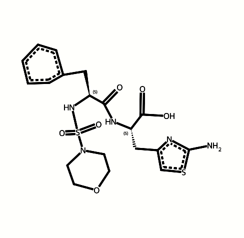 Nc1nc(C[C@H](NC(=O)[C@H](Cc2ccccc2)NS(=O)(=O)N2CCOCC2)C(=O)O)cs1